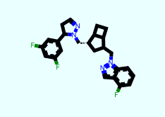 Fc1cc(F)cc(C2CC=NN2C[C@H]2CC(Cn3ncc4c(F)cccc43)C3CCC32)c1